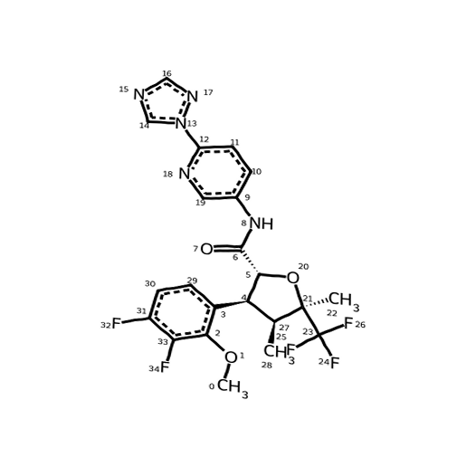 COc1c([C@H]2[C@H](C(=O)Nc3ccc(-n4cncn4)nc3)O[C@@](C)(C(F)(F)F)[C@H]2C)ccc(F)c1F